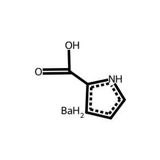 O=C(O)c1ccc[nH]1.[BaH2]